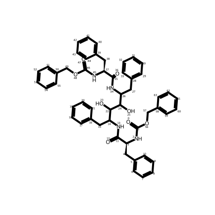 O=C(N[C@@H](Cc1ccccc1)C(=O)NC(Cc1ccccc1)C(O)C(O)C(Cc1ccccc1)NC(=O)[C@H](Cc1ccccc1)NC(=O)OCc1ccccc1)OCc1ccccc1